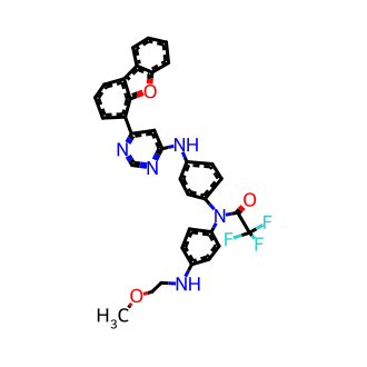 COCCNc1ccc(N(C(=O)C(F)(F)F)c2ccc(Nc3cc(-c4cccc5c4oc4ccccc45)ncn3)cc2)cc1